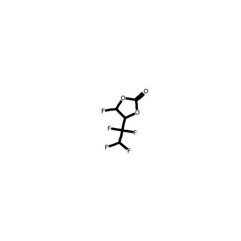 O=C1OC(F)C(C(F)(F)C(F)F)O1